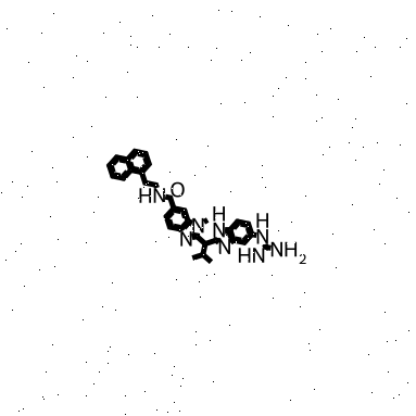 CC(C)C(c1nc2cc(NC(=N)N)ccc2[nH]1)c1nc2ccc(C(=O)NCCc3cccc4ccccc34)cc2n1C